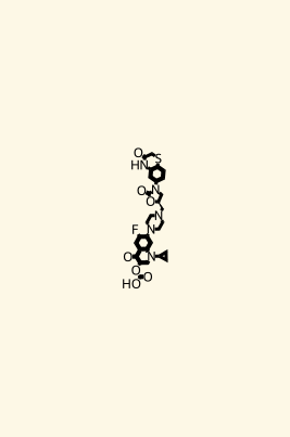 O=C1CSc2ccc(N3C[C@@H](CN4CCN(c5cc6c(cc5F)c(=O)c(OC(=O)O)cn6C5CC5)CC4)OC3=O)cc2N1